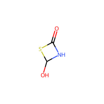 O=C1NC(O)S1